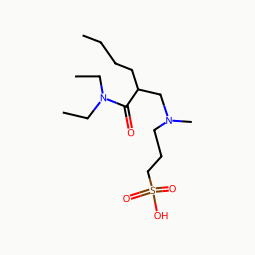 CCCCC(CN(C)CCCS(=O)(=O)O)C(=O)N(CC)CC